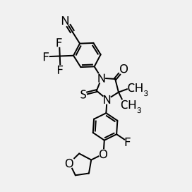 CC1(C)C(=O)N(c2ccc(C#N)c(C(F)(F)F)c2)C(=S)N1c1ccc(OC2CCOC2)c(F)c1